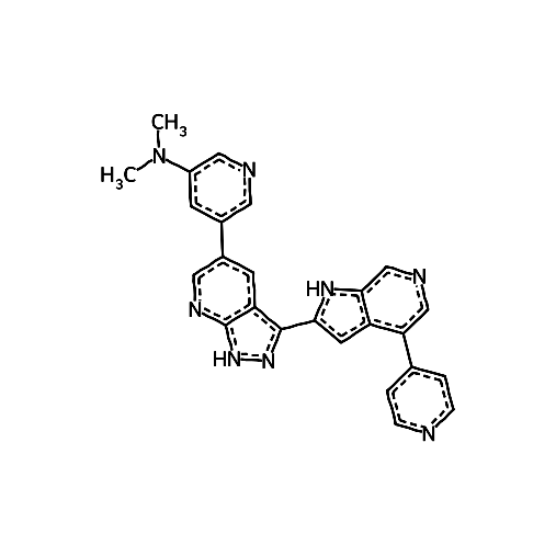 CN(C)c1cncc(-c2cnc3[nH]nc(-c4cc5c(-c6ccncc6)cncc5[nH]4)c3c2)c1